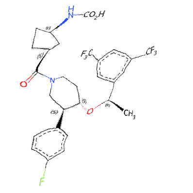 C[C@@H](O[C@H]1CCN(C(=O)[C@H]2CC[C@@H](NC(=O)O)C2)C[C@@H]1c1ccc(F)cc1)c1cc(C(F)(F)F)cc(C(F)(F)F)c1